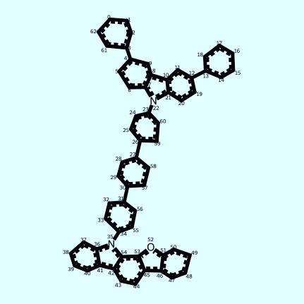 c1ccc(-c2ccc3c(c2)c2cc(-c4ccccc4)ccc2n3-c2ccc(-c3ccc(-c4ccc(-n5c6ccccc6c6ccc7c8ccccc8oc7c65)cc4)cc3)cc2)cc1